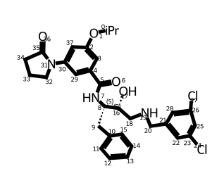 CC(C)Oc1cc(C(=O)N[C@@H](Cc2ccccc2)[C@H](O)CNCc2cc(Cl)cc(Cl)c2)cc(N2CCCC2=O)c1